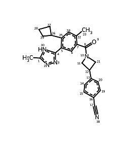 Cc1nnc(-c2cc(C(=O)N3CC(c4ccc(C#N)cc4)C3)c(C)cc2C2CCC2)[nH]1